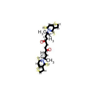 CC(C)(CCC(=O)CCC(=O)CCC(C)(C)N1C(=S)C=C2SCCC2C1=S)N1C(=S)C=C2SCCC2C1=S